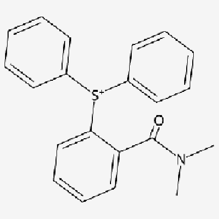 CN(C)C(=O)c1ccccc1[S+](c1ccccc1)c1ccccc1